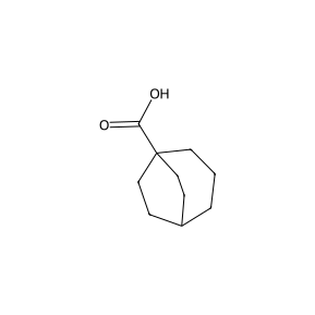 O=C(O)C12CCCC(CC1)CC2